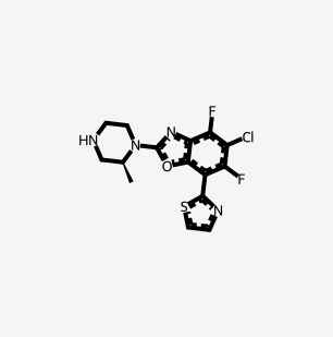 C[C@H]1CNCCN1c1nc2c(F)c(Cl)c(F)c(-c3nccs3)c2o1